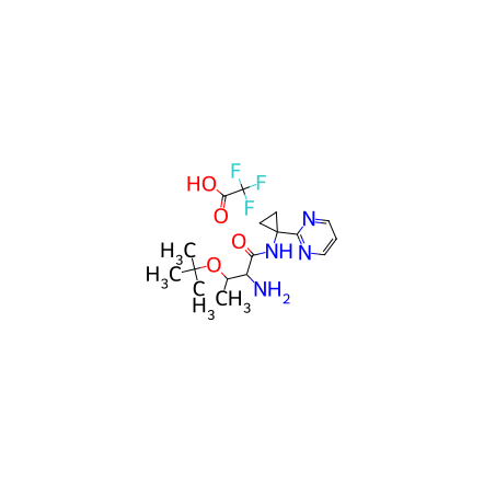 CC(OC(C)(C)C)C(N)C(=O)NC1(c2ncccn2)CC1.O=C(O)C(F)(F)F